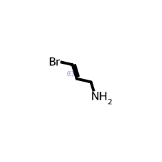 NC/C=C/Br